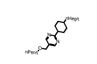 CCCCCCCC1CCC(c2ncc(COCCCCC)cn2)CC1